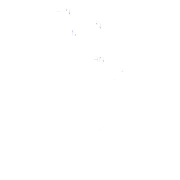 Nc1cnc(CNC2CC2c2ccc(OCc3ccccc3)cc2)cn1